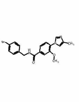 COc1cc(C(=O)NCc2ccc(Br)cc2)ccc1-n1cnc(C)c1